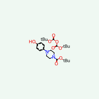 CC(C)(C)OC(=O)N1CCN(c2ccc(O)cc2)CC1.CC(C)(C)OC(=O)OC(=O)OC(C)(C)C